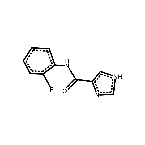 O=C(Nc1ccccc1F)c1c[nH]cn1